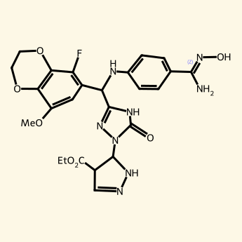 CCOC(=O)C1C=NNC1n1nc(C(Nc2ccc(/C(N)=N/O)cc2)c2cc(OC)c3c(c2F)OCCO3)[nH]c1=O